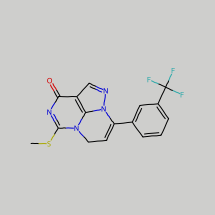 CSc1nc(=O)c2cnn3c2n1CC=C3c1cccc(C(F)(F)F)c1